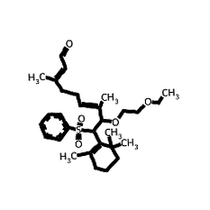 CCOCCOC(C(C)=CCCC(C)=CC=O)C(C1=C(C)CCCC1(C)C)S(=O)(=O)c1ccccc1